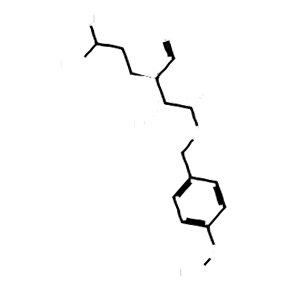 C=C[C@H](CCC(C)C)[C@@H](O)[C@H](C)OCc1ccc(OC)cc1